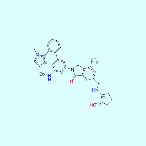 CCNc1cc(-c2ccccc2-c2nncn2C)cc(N2Cc3c(cc(CN[C@@H]4CCC[C@@H]4O)cc3C(F)(F)F)C2=O)n1